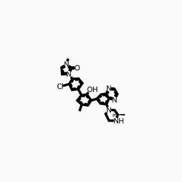 Cc1cc(-c2ccc(-n3ccn(C)c3=O)c(Cl)c2)c(O)c(-c2cc(N3CCN[C@H](C)C3)c3nccnc3c2)c1